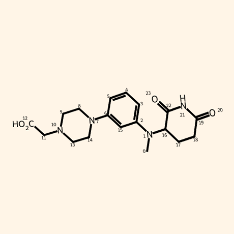 CN(c1cccc(N2CCN(CC(=O)O)CC2)c1)C1CCC(=O)NC1=O